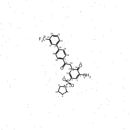 Nc1cc(S(=O)(=O)N2CCCC2)cn(CC(=O)c2ccc(-c3cccc(C(F)(F)F)c3)cc2)c1=O